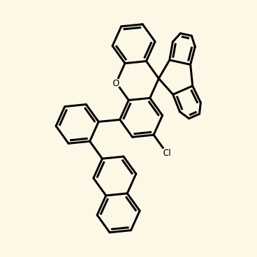 Clc1cc(-c2ccccc2-c2ccc3ccccc3c2)c2c(c1)C1(c3ccccc3O2)c2ccccc2-c2ccccc21